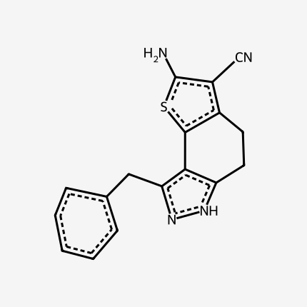 N#Cc1c(N)sc2c1CCc1[nH]nc(Cc3ccccc3)c1-2